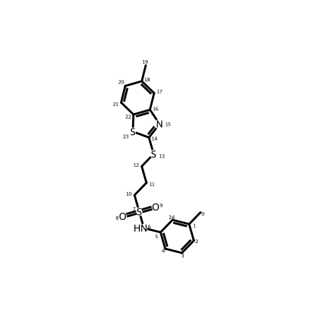 Cc1cccc(NS(=O)(=O)CCCSc2nc3cc(C)ccc3s2)c1